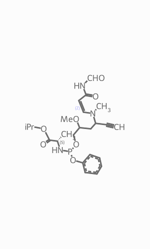 C#CC(CC(COP(N[C@@H](C)C(=O)OC(C)C)Oc1ccccc1)OC)N(C)/C=C\C(=O)NC=O